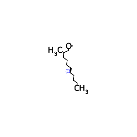 CCCC/C=C/CCCC(C)C[O]